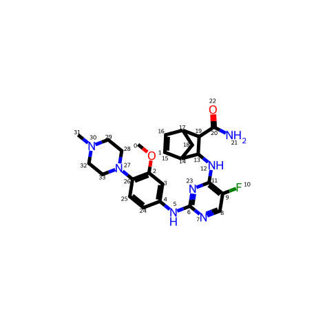 COc1cc(Nc2ncc(F)c(NC3C4C=CC(C4)C3C(N)=O)n2)ccc1N1CCN(C)CC1